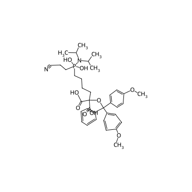 COc1ccc(C(OC(CCCCP(O)(O)(CCC#N)N(C(C)C)C(C)C)(C(=O)O)C(=O)O)(c2ccccc2)c2ccc(OC)cc2)cc1